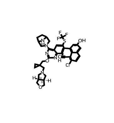 C#Cc1c(Cl)ccc2cc(O)cc(-c3c(SC(F)(F)F)cc4c(N5CC6CCC(C5)N6)nc(OCC5(CN6C[C@H]7COC[C@@H]7C6)CC5)nc4c3F)c12